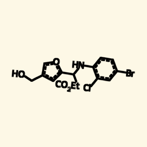 CCOC(=O)C(Nc1ccc(Br)cc1Cl)c1cc(CO)co1